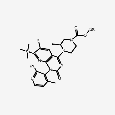 Cc1ccnc(C(C)C)c1-n1c(=O)nc(N2CCN(C(=O)OC(C)(C)C)C[C@@H]2C)c2cc(F)[c]([Sn]([CH3])([CH3])[CH3])nc21